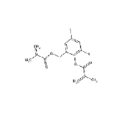 C=C(C)C(=O)OCc1cc(I)cc(I)c1OC(=O)C(=C)C